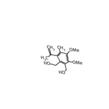 C=C(C)c1c(C)c(OC)c(OC)c(CO)c1CO